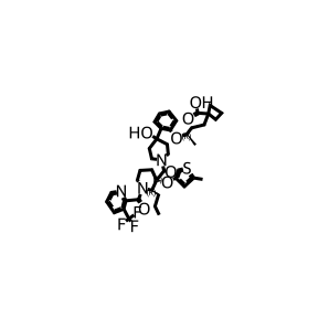 CCC[C@H]1N(C(=O)c2ncccc2C(F)(F)F)CCC[C@@]1(Oc1csc(C)c1)C(=O)N1CCC(O)(c2ccccc2O[C@H](C)CCC2(C(=O)O)CCC2)CC1